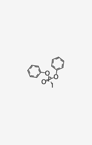 O=P(I)(Oc1ccccc1)Oc1ccccc1